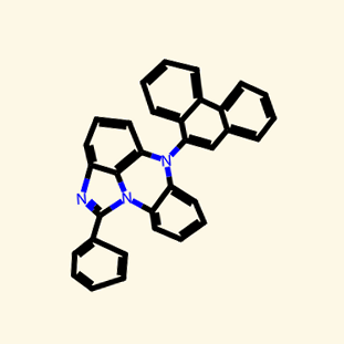 c1ccc(-c2nc3cccc4c3n2-c2ccccc2N4c2cc3ccccc3c3ccccc23)cc1